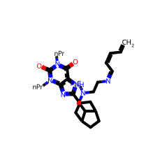 C=C/C=C\C=N/CCN(CC1C2CCC1CC(c1nc3c([nH]1)c(=O)n(CCC)c(=O)n3CCC)C2)C(F)(F)F